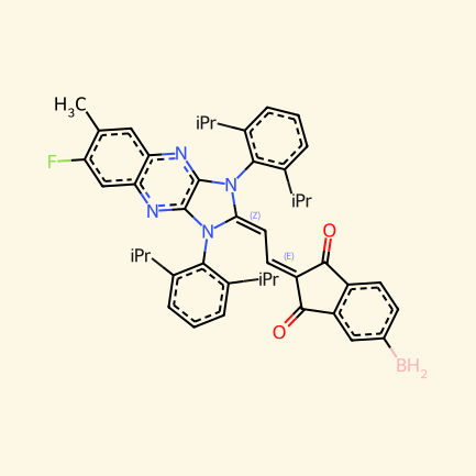 Bc1ccc2c(c1)C(=O)/C(=C/C=C1/N(c3c(C(C)C)cccc3C(C)C)c3nc4cc(C)c(F)cc4nc3N1c1c(C(C)C)cccc1C(C)C)C2=O